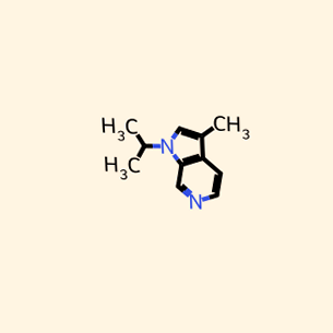 Cc1cn(C(C)C)c2cnccc12